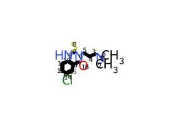 CN(C)CCCn1c(=S)[nH]c2ccc(Cl)cc2c1=O